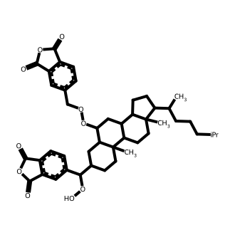 CC(C)CCCC(C)C1CCC2C3CC(OOCc4ccc5c(c4)C(=O)OC5=O)C4CC(C(OO)c5ccc6c(c5)C(=O)OC6=O)CCC4(C)C3CCC12C